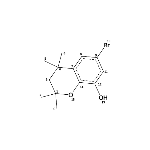 CC1(C)CC(C)(C)c2cc(Br)cc(O)c2O1